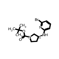 CC(C)(C)OC(=O)N1CC[C@H](Nc2cccc(Br)n2)C1